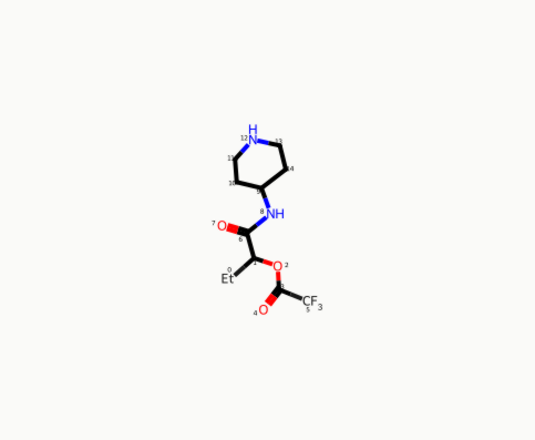 CCC(OC(=O)C(F)(F)F)C(=O)NC1CCNCC1